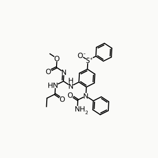 CCC(=O)NC(=NC(=O)OC)Nc1cc([S+]([O-])c2ccccc2)ccc1N(C(N)=O)c1ccccc1